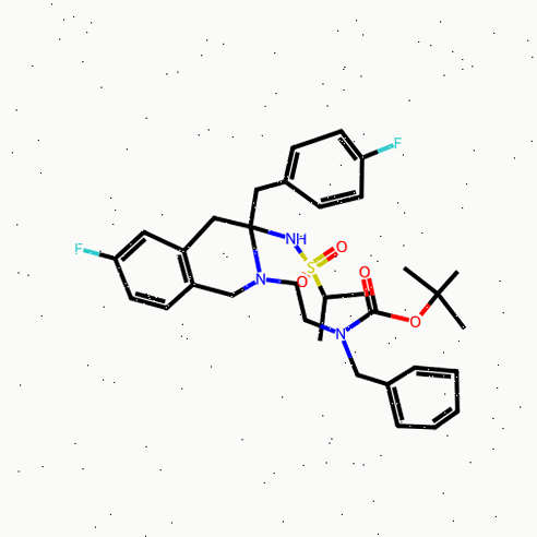 CC(C)S(=O)(=O)NC1(Cc2ccc(F)cc2)Cc2cc(F)ccc2CN1CCN(Cc1ccccc1)C(=O)OC(C)(C)C